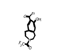 CCC(=O)c1cc2c(cc1O)CCN(C(=O)C(F)(F)F)CC2